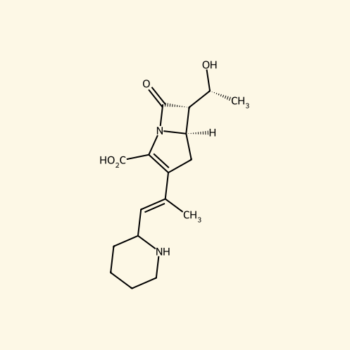 C/C(=C\C1CCCCN1)C1=C(C(=O)O)N2C(=O)[C@H]([C@@H](C)O)[C@H]2C1